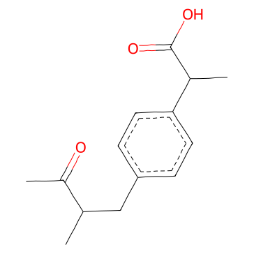 CC(=O)C(C)Cc1ccc(C(C)C(=O)O)cc1